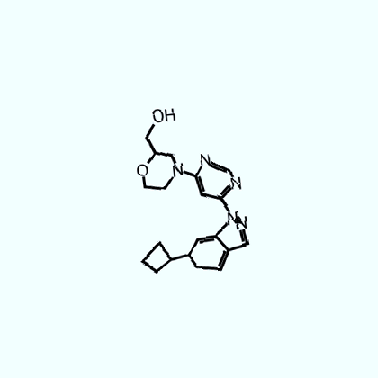 OCC1CN(c2cc(-n3ncc4c3=CC(C3CCC3)CC=4)ncn2)CCO1